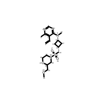 C=Cc1c(C)ncnc1N(C)[C@H]1C[C@@H](CS(=O)(=O)N2CCOC(COC)C2)C1